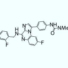 CNC(=O)Nc1ccc(-c2cnc3c(NCc4ccccc4F)nc4ccc(F)cc4n23)cc1